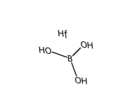 OB(O)O.[Hf]